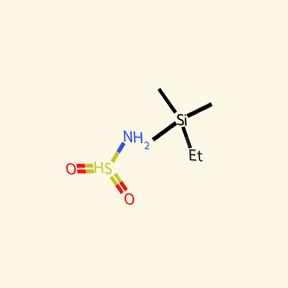 CC[Si](C)(C)C.N[SH](=O)=O